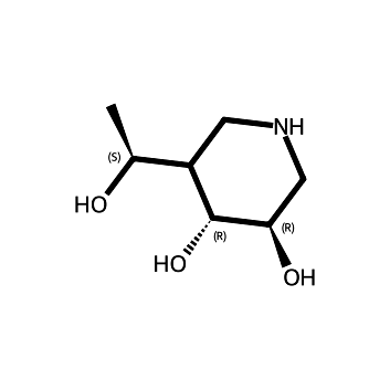 C[C@H](O)C1CNC[C@@H](O)[C@@H]1O